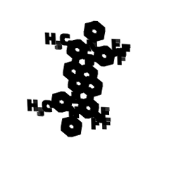 Cc1ccc2c(c1)N(c1ccccc1)c1cc(C(F)(F)F)cc3c1B2c1cc2ccc4c5c(cc6ccc-3c1c6c25)B1c2ccc(C(F)(F)F)cc2N(c2ccccc2)c2cc(C)cc-4c21